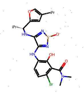 CC(C)c1coc([C@H](Nc2n[s+]([O-])nc2Nc2ccc(Br)c(C(=O)N(C)C)c2O)C(C)C)c1